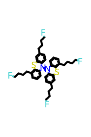 FCCCCc1ccc2c(c1)Sc1c(CCCCF)cccc1N2N1c2ccc(CCCCF)cc2Sc2c(CCCCF)cccc21